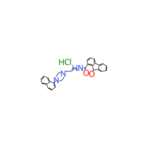 Cl.O=C(NCCCCN1CCN(c2cccc3ccccc23)CC1)c1cccc2c1C(=O)c1ccccc1-2